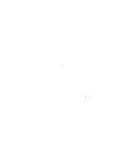 COc1cccc([CH]c2cncc(Cl)c2)c1